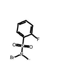 [CH2]N(Br)S(=O)(=O)c1ccccc1F